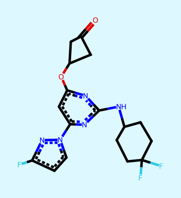 O=C1CC(Oc2cc(-n3ccc(F)n3)nc(NC3CCC(F)(F)CC3)n2)C1